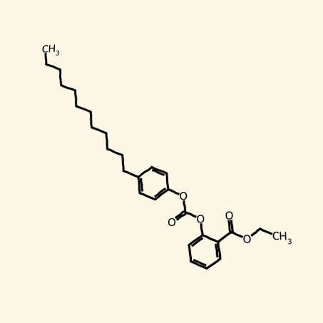 CCCCCCCCCCCCc1ccc(OC(=O)Oc2ccccc2C(=O)OCC)cc1